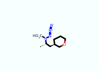 C[C@@H](C[C@H]1CCCOC1)N(N=[N+]=[N-])C(=O)O